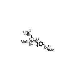 CNC(=O)OCc1ccc(NC(=O)[C@H](CCCNC(N)=O)NC(=O)[C@@H](NC)C(C)C)cc1